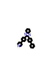 c1ccc(-c2ccc(-c3nc4ccccc4nc3-c3ccc(-c4ccncc4)cc3)cc2)cc1